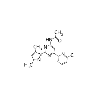 CC(=O)Nc1cc(-c2cccc(Cl)n2)nc(-n2nc(C)cc2C)n1